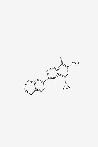 Cc1c(-c2cnc3ccccc3c2)ccc2c(=O)c(C(=O)O)cn(C3CC3)c12